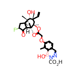 C=C[C@]1(C)C[C@@H](OC(=O)COc2ccc3c(c2C)B(O)N(C(=O)O)N=C3)[C@]2(C)[C@H](C)CC[C@]3(C[C@H](F)C(=O)[C@H]32)[C@@H](C)[C@@H]1O